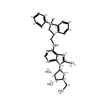 C[Si](CCCNc1ncnc2c1nc(N)n2[C@H]1O[C@@H](CO)[C@H](O)[C@@H]1O)(c1ccccc1)c1ccccc1